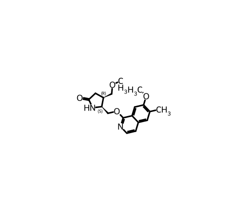 COC[C@@H]1CC(=O)N[C@@H]1COc1nccc2cc(C)c(OC)cc12